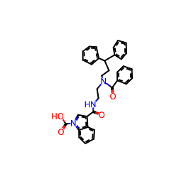 O=C(NCCN(CCC(c1ccccc1)c1ccccc1)C(=O)c1ccccc1)c1cn(C(=O)O)c2ccccc12